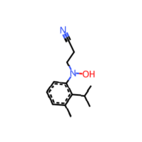 Cc1cccc(N(O)CCC#N)c1C(C)C